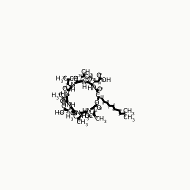 CC(C)CCCCCCCC[C@@H]1CC(=O)N[C@@H](CCC(=O)O)C(=O)N[C@@H](CC(C)C)C(=O)N[C@H](CC(C)C)C(=O)N[C@@H](C(C)C)C(=O)N[C@@H](CC(=O)O)C(=O)N[C@H](CC(C)C)C(=O)N[C@@H](CC(C)C)C(=O)O1